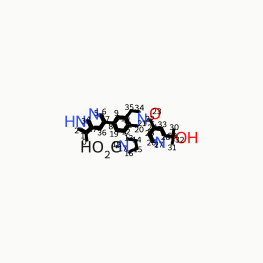 Cc1c[nH]c2ncc(-c3cc4c(c([C@@H]5CCCN5C(=O)O)c3)CN(C(=O)c3ccnc(C(C)(C)O)c3)CC4)cc12